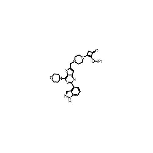 CC(C)OC1=C(N2CCN(Cc3cc4nc(-c5cccc6[nH]ncc56)nc(N5CCOCC5)c4s3)CC2)CC1=O